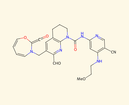 COCCNc1cc(NC(=O)N2CCCc3cc(CN4C=CC=COC4=C=O)c(C=O)nc32)ncc1C#N